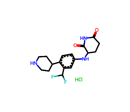 Cl.O=C1CCC(Nc2ccc(C3CCNCC3)c(C(F)F)c2)C(=O)N1